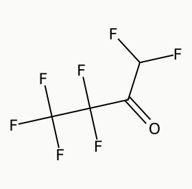 O=C(C(F)F)C(F)(F)C(F)(F)F